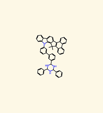 CC1(C)c2c(c3ccccc3c3ccccc23)-c2ccc3c4ccccc4n(-c4cccc(-c5cccc(C6NC(c7ccccc7)NC(c7ccccc7)N6)c5)c4)c3c21